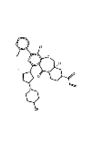 C=CC(=O)N1CCN2C(=O)c3c(N4CC(N5CCC(C#N)CC5)C[C@@H]4C)nc(-c4ccccc4F)c(Cl)c3OC[C@H]2C1